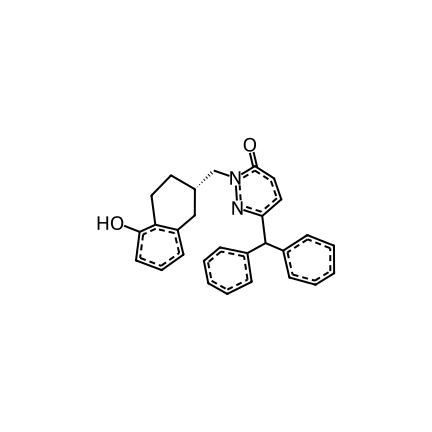 O=c1ccc(C(c2ccccc2)c2ccccc2)nn1C[C@H]1CCc2c(O)cccc2C1